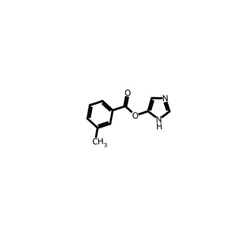 Cc1cccc(C(=O)Oc2cnc[nH]2)c1